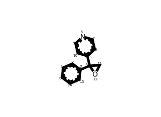 c1ccc(C2(c3ccncc3)CO2)cc1